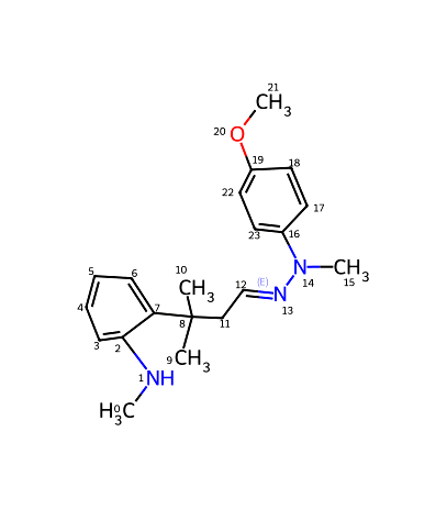 CNc1ccccc1C(C)(C)C/C=N/N(C)c1ccc(OC)cc1